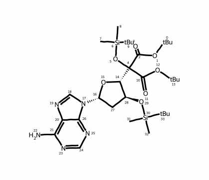 CC(C)(C)OC(=O)C(O[Si](C)(C)C(C)(C)C)(C(=O)OC(C)(C)C)[C@H]1O[C@@H](n2cnc3c(N)ncnc32)C[C@@H]1O[Si](C)(C)C(C)(C)C